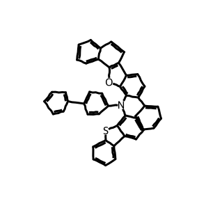 c1ccc(-c2ccc(N(c3c(-c4ccccc4)ccc4c3oc3c5ccccc5ccc43)c3cccc4c3sc3ccccc34)cc2)cc1